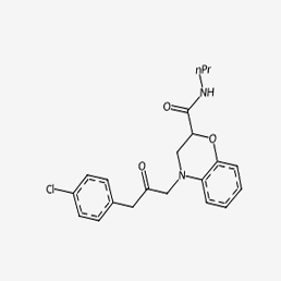 CCCNC(=O)C1CN(CC(=O)Cc2ccc(Cl)cc2)c2ccccc2O1